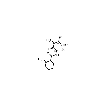 CC(C)[C@@H](C=O)N(C)C(=O)[C@@H](NC(=O)C1CCCCN1C)C(C)(C)C